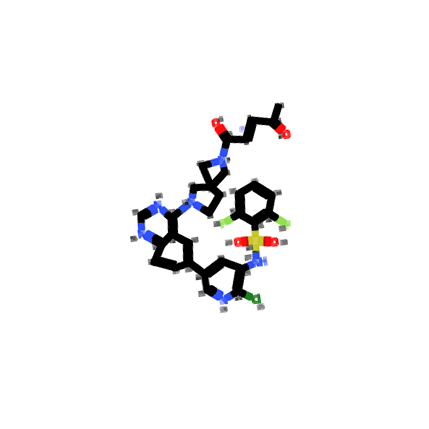 CC(=O)/C=C/C(=O)N1CC2(CCN(c3ncnc4ccc(-c5cnc(Cl)c(NS(=O)(=O)c6c(F)cccc6F)c5)cc34)C2)C1